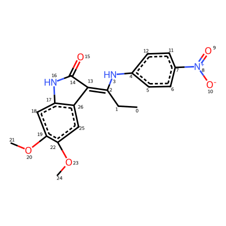 CC/C(Nc1ccc([N+](=O)[O-])cc1)=C1/C(=O)Nc2cc(OC)c(OC)cc21